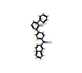 N=C(c1ccc(-c2cccc3c2oc2ccccc23)cc1)c1ccc2ccccc2c1